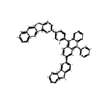 c1ccc(-c2c3ccccc3c(-c3ccc(-c4ccc5oc6cc7ccccc7cc6c5c4)cn3)c3ccc(-c4ccc5oc6ccccc6c5c4)cc23)cc1